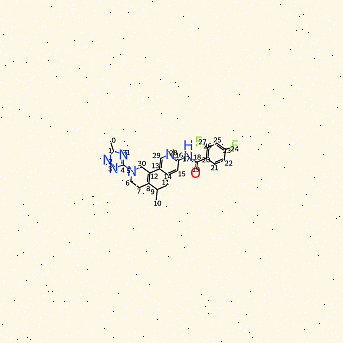 CC1N=NC(N2CCC(C(C)C)=C(c3ccc(NC(=O)c4ccc(F)cc4F)nc3)C2)=N1